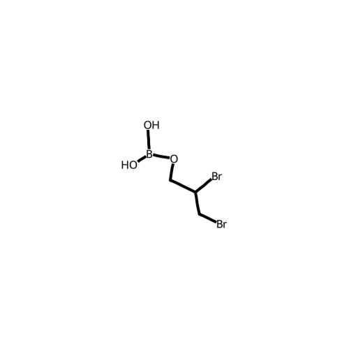 OB(O)OCC(Br)CBr